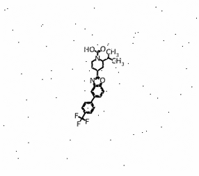 CC(C)C1CC(c2nc3cc(-c4ccc(C(F)(F)F)cc4)ccc3o2)CCN1C(=O)O